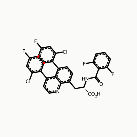 O=C(N[C@@H](Cc1ccc(-c2ccc(F)cc2Cl)c2c(-c3ccc(F)cc3Cl)ccnc12)C(=O)O)c1c(F)cccc1F